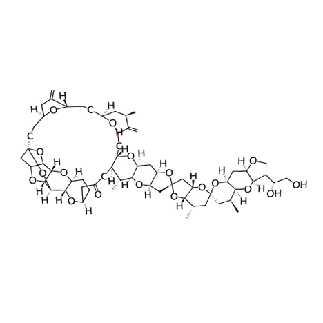 C=C1C[C@@H]2CC[C@@]34CC5O[C@H]6[C@@H](O3)[C@H]3O[C@H](CC[C@@H]3O[C@H]6C5O4)CC(=O)C[C@@H]3[C@@H](C)[C@@H]4O[C@@H]5C[C@]6(C[C@@H]7O[C@]8(C[C@H](C)[C@@H]9O[C@@H]%10[C@@H]([C@@H](O)CO)CO[C@@H]%10C[C@@H]9O8)C[C@H](C)[C@@H]7O6)O[C@@H]5C[C@@H]4O[C@H]3C[C@H]3O[C@@H](CC[C@@H]1O2)C[C@@H](C)C3=C